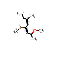 CC/C(C)=C\C(=C/C(C)OC)SC